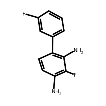 Nc1ccc(-c2cccc(F)c2)c(N)c1F